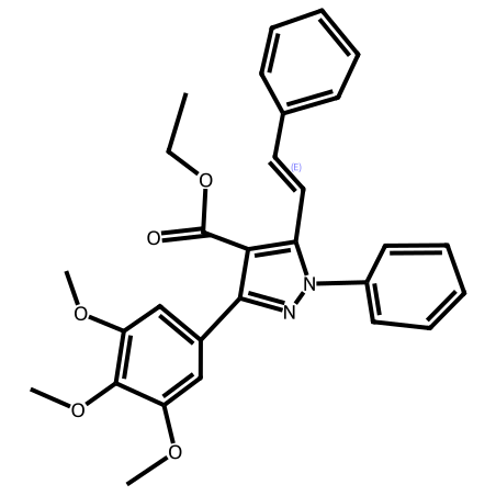 CCOC(=O)c1c(-c2cc(OC)c(OC)c(OC)c2)nn(-c2ccccc2)c1/C=C/c1ccccc1